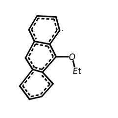 CCOc1c2[c]cccc2cc2ccccc12